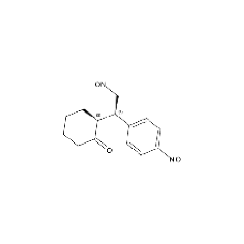 O=NC[C@@H](c1ccc(N=O)cc1)[C@@H]1CCCCC1=O